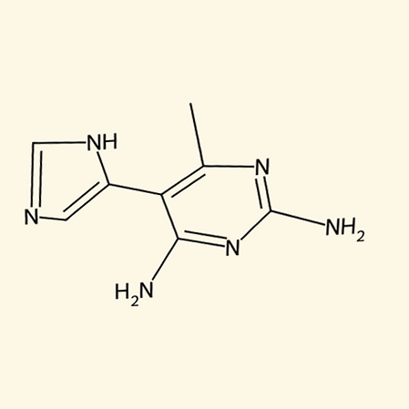 Cc1nc(N)nc(N)c1-c1cnc[nH]1